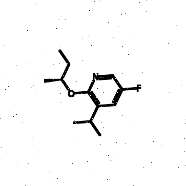 CC[C@H](C)Oc1ncc(F)cc1C(C)C